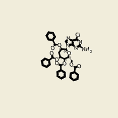 Nc1nc(Cl)c2ncn([C@@H]3O[C@H](COC(=O)c4ccccc4)[C@@H](OC(=O)c4ccccc4)[C@H](OC(=O)c4ccccc4)C[C@H]3OC(=O)c3ccccc3)c2n1